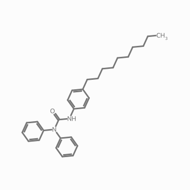 CCCCCCCCCCc1ccc(NC(=O)N(c2ccccc2)c2ccccc2)cc1